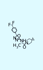 C[C@H](Nc1nnc(-c2ccc(C(F)F)cc2)o1)C(=O)N1CCC2(CC1)CC2